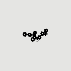 CC1(C)c2ccccc2-c2ccc(-c3ccc4sc5c6c(c7c(c8ccccc8n7-c7ccc(-c8ccccc8)cc7)c5c4c3)C=CCC6)cc21